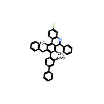 CNc1cc(-c2ccccc2)ccc1-c1c(Cc2ccccc2)c(C)c2c(c(-c3ccccc3)nc3cc(F)ccc32)c1C